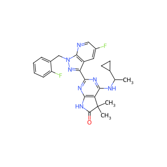 CC(Nc1nc(-c2nn(Cc3ccccc3F)c3ncc(F)cc23)nc2c1C(C)(C)C(=O)N2)C1CC1